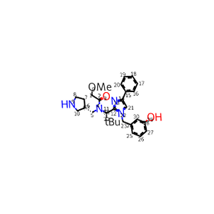 COCC(=O)N(C[C@H]1CCNC1)[C@@H](c1nc(-c2ccccc2)cn1Cc1cccc(O)c1)C(C)(C)C